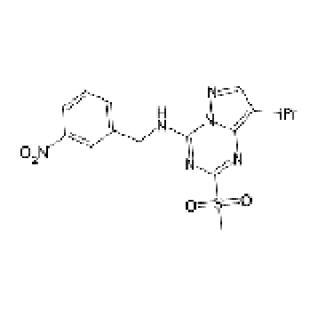 CC(C)c1cnn2c(NCc3cccc([N+](=O)[O-])c3)nc(S(C)(=O)=O)nc12